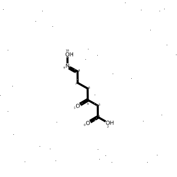 O=C(O)CC(=O)CCC=NO